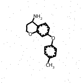 Cc1ccc(Oc2ccc3c(c2)OCCC3N)cc1